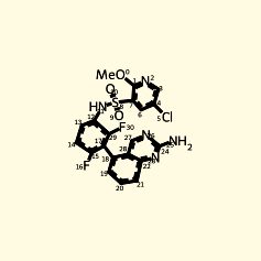 COc1ncc(Cl)cc1S(=O)(=O)Nc1ccc(F)c(-c2cccc3nc(N)ncc23)c1F